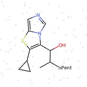 CCCCCC(C)C(O)c1c(C2CC2)sc2cncn12